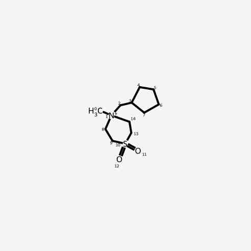 C[N+]1(CC2CCCC2)CCS(=O)(=O)CC1